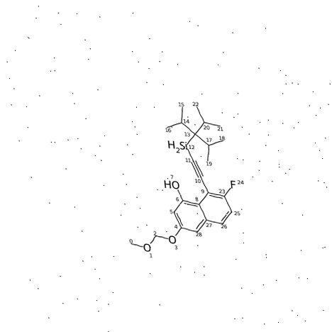 COCOc1cc(O)c2c(C#C[SiH2]C(C(C)C)(C(C)C)C(C)C)c(F)ccc2c1